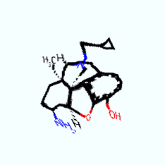 CC[C@@]12CC[C@H](N)[C@@H]3Oc4c(O)ccc5c4[C@@]31CCN(CC1CC1)[C@@H]2C5